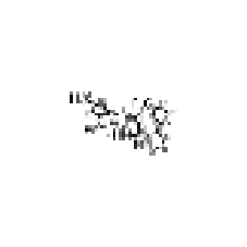 CCN(C[C@@H]1CC[C@H](C)[C@H]1Nc1nc2n(n1)CCCC2c1cccc(C(F)(F)F)c1)c1cc(C)ns1